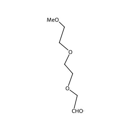 COCCOCCOC[C]=O